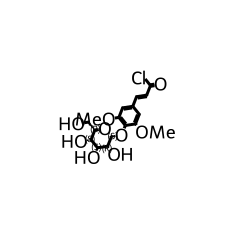 COc1cc(C=CC(=O)Cl)cc(OC)c1O[C@@H]1O[C@H](CO)[C@@H](O)[C@H](O)[C@H]1O